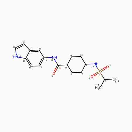 CC(C)S(=O)(=O)NC1CCC(C(=O)Nc2ccc3[nH]ccc3c2)CC1